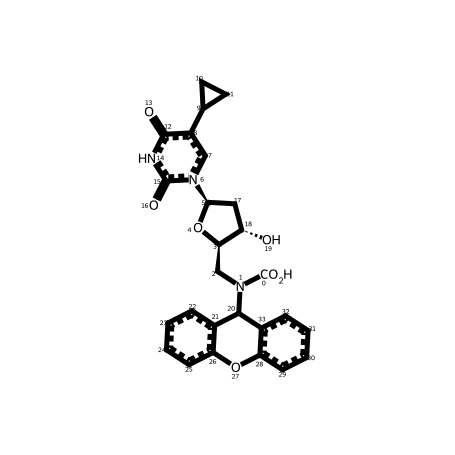 O=C(O)N(C[C@H]1O[C@@H](n2cc(C3CC3)c(=O)[nH]c2=O)C[C@@H]1O)C1c2ccccc2Oc2ccccc21